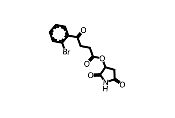 O=C1CC(OC(=O)CCC(=O)c2ccccc2Br)C(=O)N1